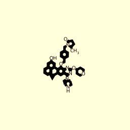 CC1CCC(=O)N1Cc1ccc(COc2c(-c3cc(O)cc4ccccc34)c(C3CC3)cc3c(N4CC5CC4CN5)nc(OC4CCOCC4)nc23)cc1